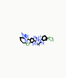 C[C@H](Nc1ncnc2cc(-c3nnc4n3CCCC4)c(Cl)cc12)c1nc2cc(Cl)ccc2[nH]1